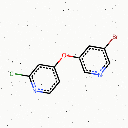 Clc1cc(Oc2cncc(Br)c2)ccn1